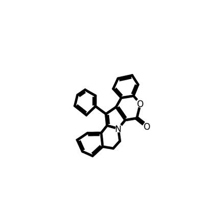 O=c1oc2ccccc2c2c(-c3ccccc3)c3n(c12)CCc1ccccc1-3